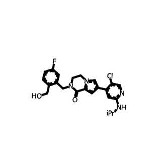 CC(C)Nc1cc(-c2cc3n(c2)CCN(Cc2cc(F)ccc2CO)C3=O)c(Cl)cn1